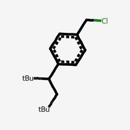 CC(C)(C)CC(c1ccc(CCl)cc1)C(C)(C)C